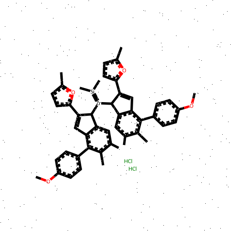 COc1ccc(-c2c(C)c(C)cc3c2C=C(c2ccc(C)o2)[CH]3[Zr]([CH]2C(c3ccc(C)o3)=Cc3c2cc(C)c(C)c3-c2ccc(OC)cc2)=[Si](C)C)cc1.Cl.Cl